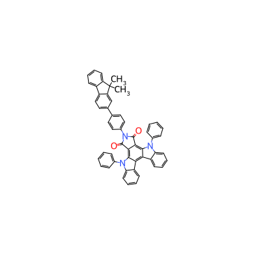 CC1(C)c2ccccc2-c2ccc(-c3ccc(N4C(=O)c5c(c6c(c7ccccc7n6-c6ccccc6)c6c7ccccc7n(-c7ccccc7)c56)C4=O)cc3)cc21